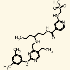 CCCC(CCNC(=O)c1ccnc(NCS(C)(=O)=O)c1)NCc1nc(Nc2cc(C)cc(C)c2)ncc1CC